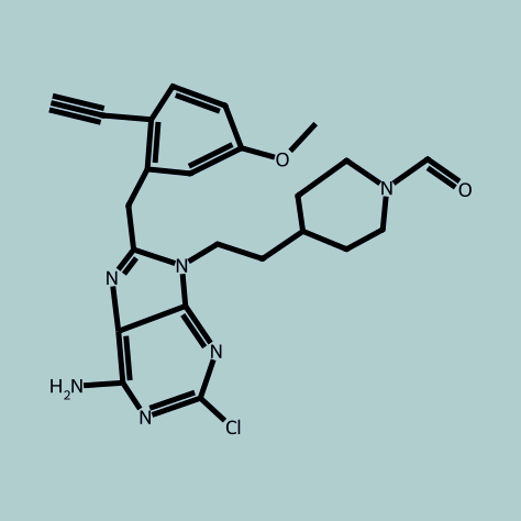 C#Cc1ccc(OC)cc1Cc1nc2c(N)nc(Cl)nc2n1CCC1CCN(C=O)CC1